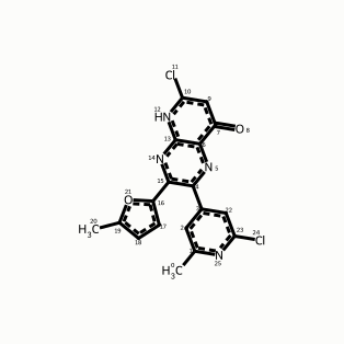 Cc1cc(-c2nc3c(=O)cc(Cl)[nH]c3nc2-c2ccc(C)o2)cc(Cl)n1